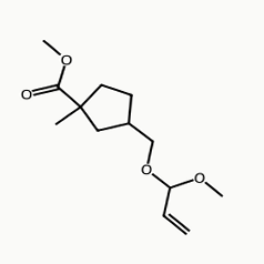 C=CC(OC)OCC1CCC(C)(C(=O)OC)C1